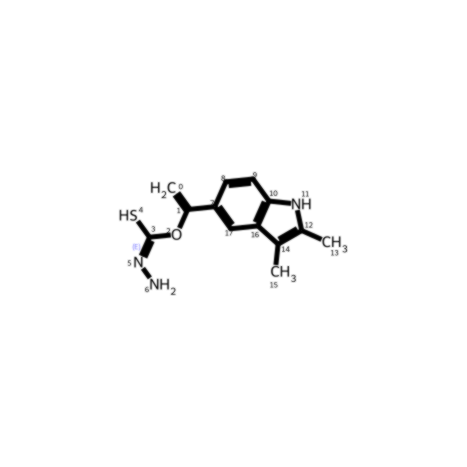 C=C(O/C(S)=N\N)c1ccc2[nH]c(C)c(C)c2c1